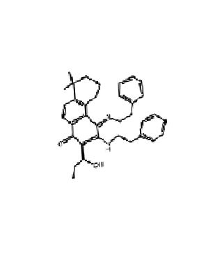 CCC(O)C1=C(NCCc2ccccc2)C(=NCCc2ccccc2)c2c(ccc3c2CCCC3(C)C)C1=O